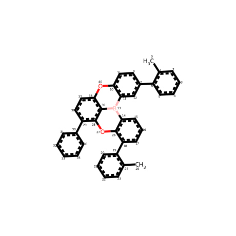 Cc1ccccc1-c1ccc2c(c1)B1c3cccc(-c4ccccc4C)c3Oc3c(-c4ccccc4)ccc(c31)O2